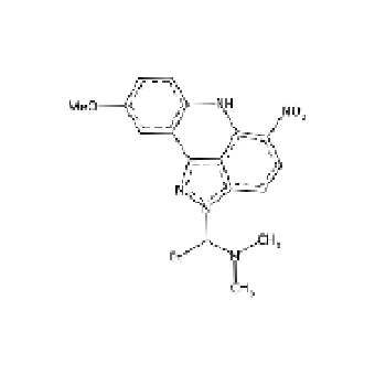 CCC(N(C)C)n1nc2c3c(c([N+](=O)[O-])ccc31)Nc1ccc(OC)cc1-2